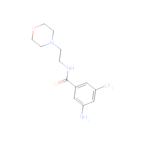 Nc1cc(C(=O)NCCN2CCOCC2)cc(C(F)(F)F)c1